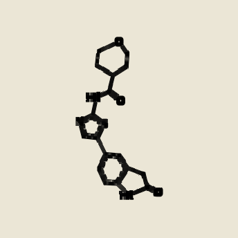 O=C1Cc2cc(-c3cnc(NC(=O)C4CCOCC4)s3)ccc2N1